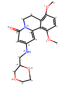 COc1ccc(OC)c2c1CCn1c-2cc(NCC2COCCO2)cc1=O